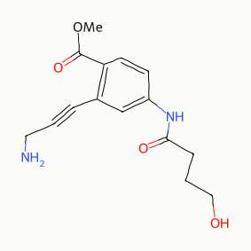 COC(=O)c1ccc(NC(=O)CCCO)cc1C#CCN